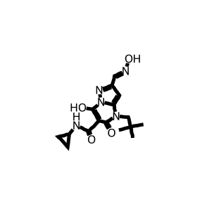 CC(C)(C)Cn1c(=O)c(C(=O)NC2CC2)c(O)n2nc(C=NO)cc12